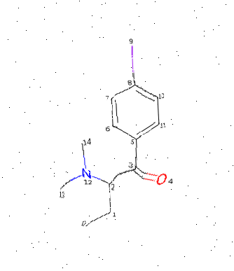 CCC(C(=O)c1ccc(I)cc1)N(C)C